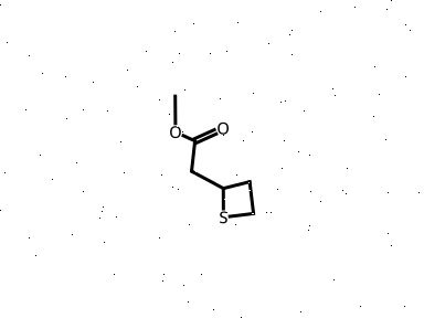 COC(=O)CC1CCS1